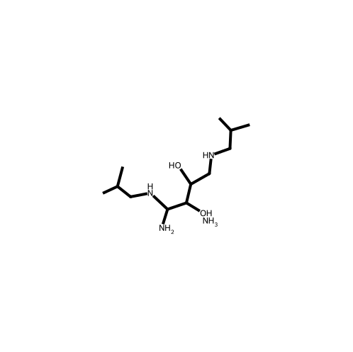 CC(C)CNCC(O)C(O)C(N)NCC(C)C.N